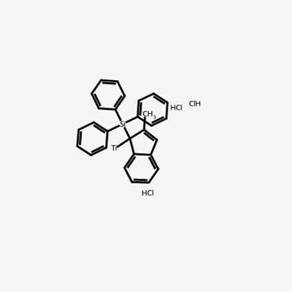 CC1=Cc2ccccc2[C]1([Ti])[Si](c1ccccc1)(c1ccccc1)c1ccccc1.Cl.Cl.Cl